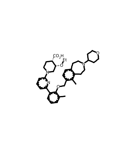 CCO[C@@H]1CN(c2cccc(-c3cccc(C)c3OCc3ccc4c(c3C)CCN(C3CCOCC3)CC4)n2)CC[C@@H]1C(=O)O